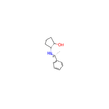 C[C@@H](NC1CCCC1O)c1ccccc1